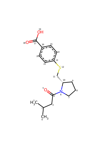 CC(C)CC(=O)N1CCC[C@H]1CSc1ccc(C(=O)O)cc1